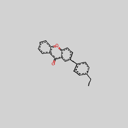 CCc1ccc(-c2ccc3oc4ccccc4c(=O)c3c2)cc1